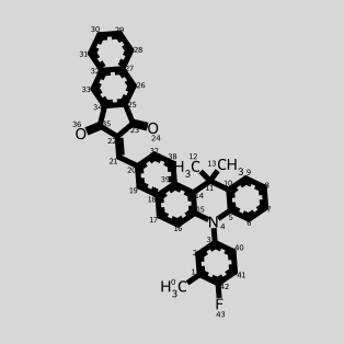 Cc1cc(N2c3ccccc3C(C)(C)c3c2ccc2cc(C=C4C(=O)c5cc6ccccc6cc5C4=O)ccc32)ccc1F